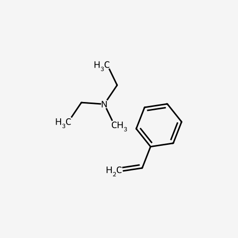 C=Cc1ccccc1.CCN(C)CC